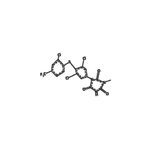 Cn1c(=O)[nH]c(=O)n(-c2cc(Cl)c(Sc3ccc(C(F)(F)F)cc3Cl)c(Cl)c2)c1=O